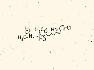 CCN(CC)CCCNC(=O)C(=CC=Cc1cc2cc(Cl)ccc2[nH]1)OC